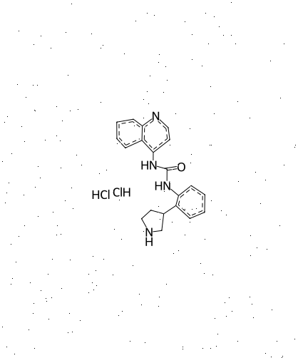 Cl.Cl.O=C(Nc1ccccc1C1CCNC1)Nc1ccnc2ccccc12